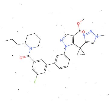 CCC[C@@H]1CCCCN1C(=O)c1cc(F)cc(-c2cccc(-n3ncc(C(=O)OC)c3C3(c4cn(C)nn4)CC3)c2)c1